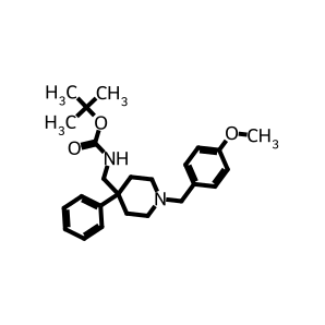 COc1ccc(CN2CCC(CNC(=O)OC(C)(C)C)(c3ccccc3)CC2)cc1